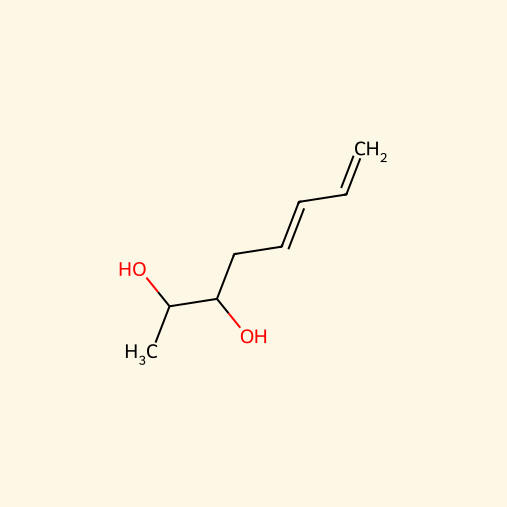 C=CC=CCC(O)C(C)O